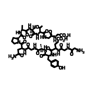 CC(NC(=O)[C@@H]1CCCN1C(=O)C(CC(N)=O)NC(=O)CNC(=O)[C@H](C)NC(=O)C(Cc1ccc(O)cc1)NC(=O)C(CCC(=O)O)NC(=O)CNC(=O)CN)C(=O)N[C@@H](C)C(=O)NC(C(=O)NCC(=O)NCC(=O)O)C(C)O